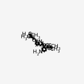 CC(C)(C)OC(=O)c1ccc(N)cc1Oc1cnc2c(ccn2COCC[Si](C)(C)C)c1